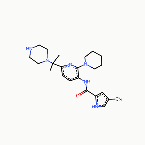 CC(C)(c1ccc(NC(=O)c2cc(C#N)c[nH]2)c(N2CCCCC2)n1)N1CCNCC1